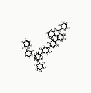 c1ccc(-c2cccc(-c3nc(-c4ccccc4)nc(-c4ccc(-c5ccc(-c6cccc7c(-c8ccccc8)nc8ccccc8c67)cc5)cc4)n3)c2)cc1